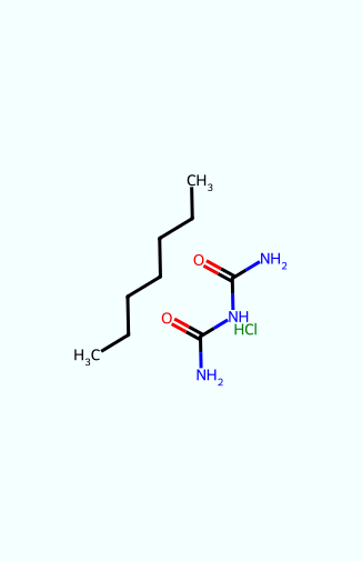 CCCCCCC.Cl.NC(=O)NC(N)=O